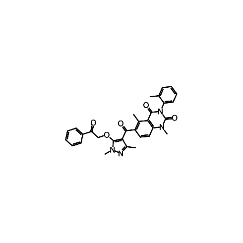 Cc1ccccc1-n1c(=O)c2c(C)c(C(=O)c3c(C)nn(C)c3OCC(=O)c3ccccc3)ccc2n(C)c1=O